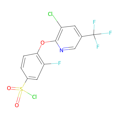 O=S(=O)(Cl)c1ccc(Oc2ncc(C(F)(F)F)cc2Cl)c(F)c1